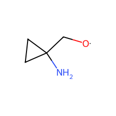 NC1(C[O])CC1